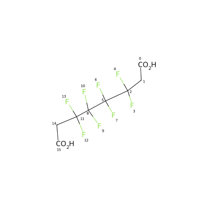 O=C(O)CC(F)(F)C(F)(F)C(F)(F)C(F)(F)CC(=O)O